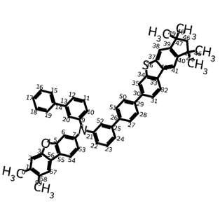 Cc1cc2oc3cc(N(c4cccc(-c5ccccc5)c4)c4cccc(-c5ccc(-c6ccc7c(c6)sc6cc8c(cc67)C(C)(C)CC8(C)C)cc5)c4)ccc3c2cc1C